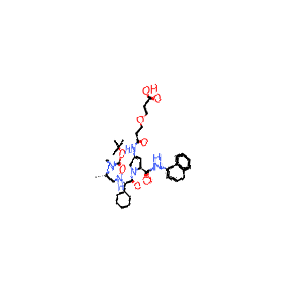 C[C@@H](CN[C@H](C(=O)N1C[C@@H](NC(=O)CCOCCC(=O)O)C[C@H]1C(=O)N[C@@H]1CCCc2ccccc21)C1CCCCC1)N(C)C(=O)OC(C)(C)C